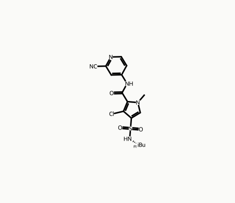 CC[C@@H](C)NS(=O)(=O)c1cn(C)c(C(=O)Nc2ccnc(C#N)c2)c1Cl